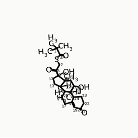 CC(C)(C)C(=O)SCC(=O)[C@@]1(O)CC[C@H]2[C@@H]3CCC4=CC(=O)CC[C@]4(C)[C@H]3C(O)C[C@@]21C